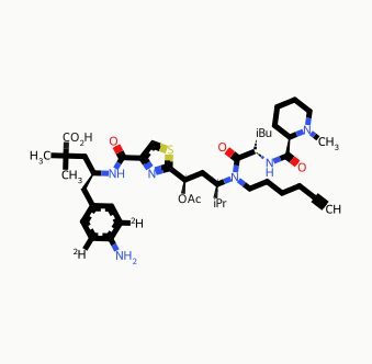 [2H]c1cc(C[C@@H](CC(C)(C)C(=O)O)NC(=O)c2csc([C@@H](C[C@H](C(C)C)N(CCCCC#C)C(=O)[C@@H](NC(=O)[C@H]3CCCCN3C)[C@@H](C)CC)OC(C)=O)n2)cc([2H])c1N